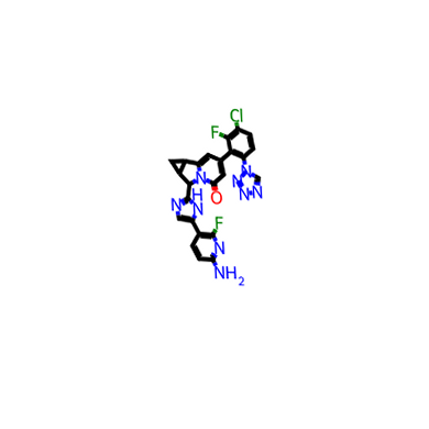 Nc1ccc(-c2cnc(C3C4CC4c4cc(-c5c(-n6cnnn6)ccc(Cl)c5F)cc(=O)n43)[nH]2)c(F)n1